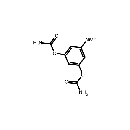 CNc1cc(OC(N)=O)cc(OC(N)=O)c1